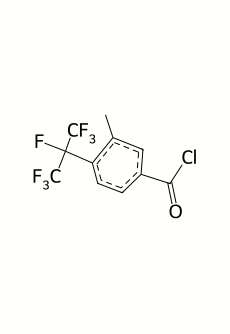 Cc1cc(C(=O)Cl)ccc1C(F)(C(F)(F)F)C(F)(F)F